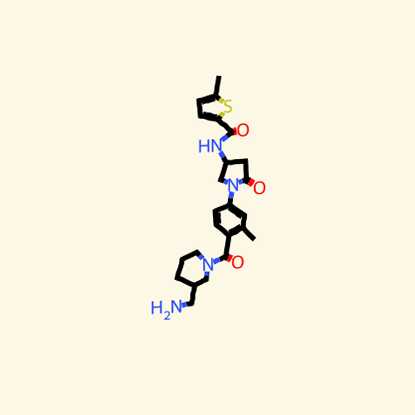 Cc1ccc(C(=O)NC2CC(=O)N(c3ccc(C(=O)N4CCCC(CN)C4)c(C)c3)C2)s1